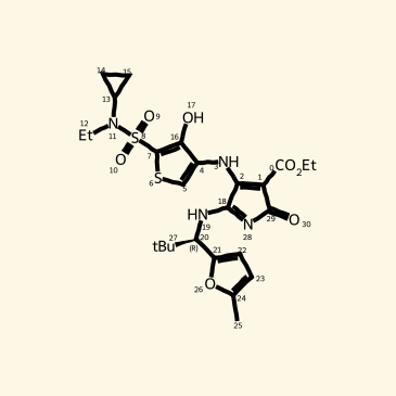 CCOC(=O)C1=C(Nc2csc(S(=O)(=O)N(CC)C3CC3)c2O)C(N[C@@H](c2ccc(C)o2)C(C)(C)C)=NC1=O